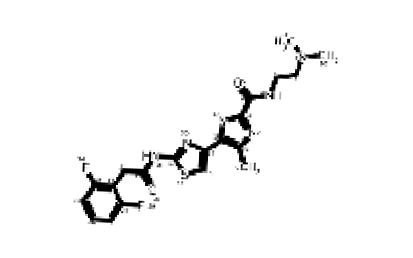 Cc1nc(C(=O)NCCN(C)C)sc1-c1csc(NC(=O)Cc2c(F)cccc2F)n1